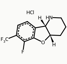 Cl.Fc1c(C(F)(F)F)ccc2c1O[C@H]1CCCN[C@@H]21